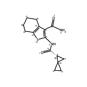 NC(=O)c1c(NC(=O)[C@@H]2CC23CC3)sc2c1CCCC2